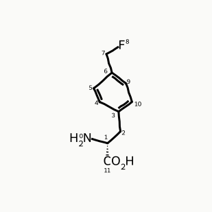 N[C@H](Cc1ccc(CF)cc1)C(=O)O